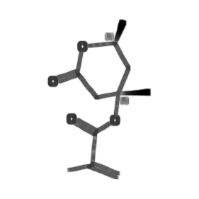 C=C(C)C(=O)O[C@]1(C)CC(=O)O[C@@H](C)C1